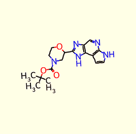 CC(C)(C)OC(=O)N1CCOC(c2nc3cnc4[nH]ccc4c3[nH]2)C1